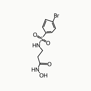 O=C(CCNS(=O)(=O)c1ccc(Br)cc1)NO